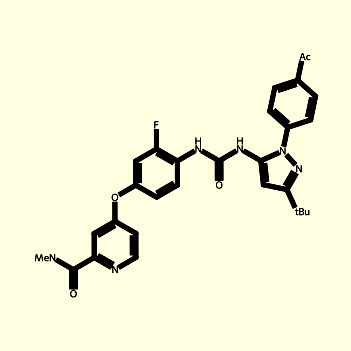 CNC(=O)c1cc(Oc2ccc(NC(=O)Nc3cc(C(C)(C)C)nn3-c3ccc(C(C)=O)cc3)c(F)c2)ccn1